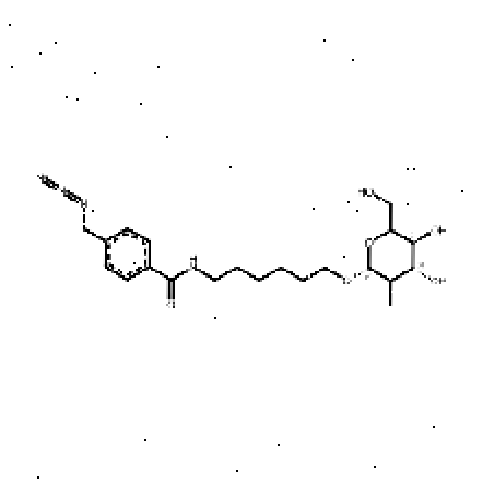 CC1[C@H](OCCCCCCNC(=O)c2ccc(CN=[N+]=[N-])cc2)OC(CO)[C@@H](O)[C@@H]1O